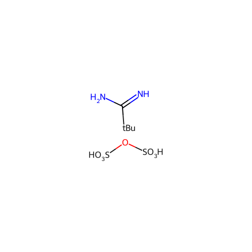 CC(C)(C)C(=N)N.O=S(=O)(O)OS(=O)(=O)O